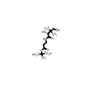 CC(OC(=O)CCNC(=O)[C@H](O)C(C)(C)CO)(C(=O)O)C(=O)O